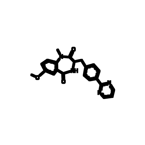 COc1ccc2c(c1)C(=O)NC(Cc1ccc(-c3ncccn3)cc1)C(=O)N2C